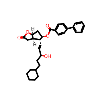 O=C1C[C@@H]2[C@@H](C=C[C@@H](O)CCC3CCCCC3)[C@H](OC(=O)c3ccc(-c4ccccc4)cc3)C[C@@H]2O1